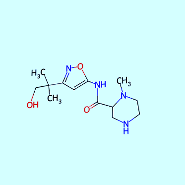 CN1CCNCC1C(=O)Nc1cc(C(C)(C)CO)no1